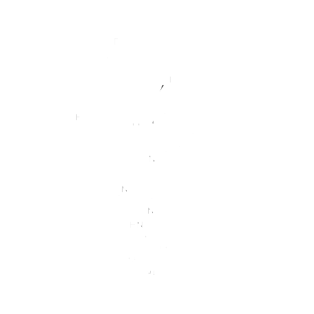 C[C@@H](O[C@H]1OCCN(C/C(N)=N/NC(=O)OC(C)(C)C)[C@H]1c1ccc(F)cc1)c1cc(CF)cc(CF)c1